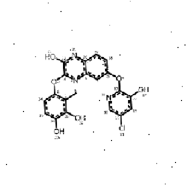 Cc1c(Oc2nc3cc(Oc4ncc(Cl)cc4O)ccc3nc2O)ccc(O)c1O